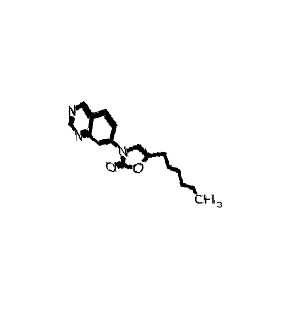 CCCCCCC1CN(c2ccc3cncnc3c2)C(=O)O1